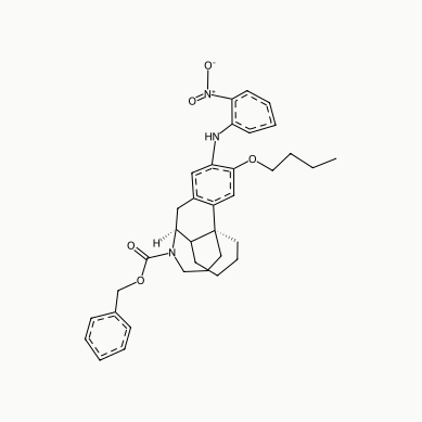 CCCCOc1cc2c(cc1Nc1ccccc1[N+](=O)[O-])C[C@H]1C3CCCC[C@@]23CCCN1C(=O)OCc1ccccc1